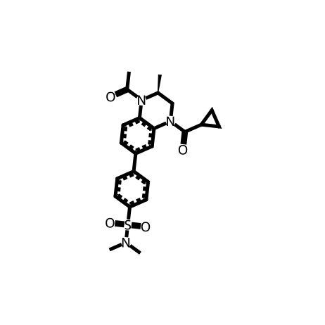 CC(=O)N1c2ccc(-c3ccc(S(=O)(=O)N(C)C)cc3)cc2N(C(=O)C2CC2)C[C@@H]1C